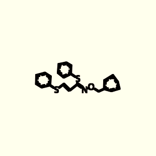 C(=CC(=NOCc1ccccc1)Sc1ccccc1)Sc1ccccc1